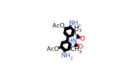 CC(=O)NC(C)=O.CC(=O)Oc1cc(-c2ccc(N)c(OC(C)=O)c2)ccc1N